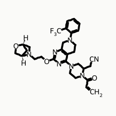 C=CC(=O)N1CCN(c2nc(OCCN3C[C@H]4C[C@@H]3CO4)nc3c2CCN(c2ccccc2C(F)(F)F)C3)CC1CC#N